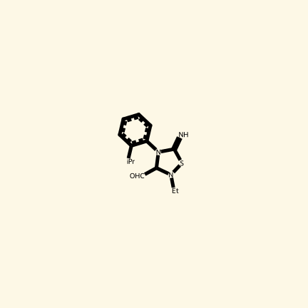 CCN1SC(=N)N(c2ccccc2C(C)C)C1C=O